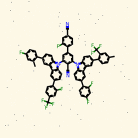 Cc1ccc(-c2ccc3c(c2)c2cc(-c4ccc(F)cc4F)ccc2n3-c2cc(-c3ccc(C#N)cc3F)cc(-n3c4ccc(-c5ccc(F)cc5C)cc4c4cc(-c5ccc(C(F)(F)F)cc5F)ccc43)c2C#N)c(C(F)(F)F)c1